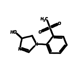 CS(=O)(=O)c1ccccc1N1C=NC(O)C1